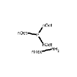 CCCCCCCCP(CCCCCCCC)CCCCCCCC.CCCCCCN